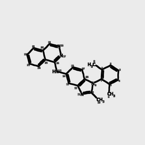 Cc1cccc(C)c1-n1c(C)nc2cc(Nc3nncc4ccccc34)ccc21